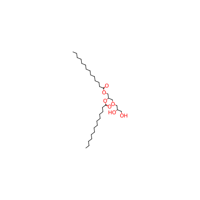 CCCCCCCCCCCCCC(=O)OCC(COCC(O)CO)OC(=O)CCCCCCCCCCCCC